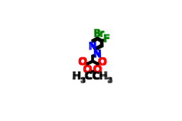 CC1(C)OC(=O)C(C=Nc2cc(F)c(Br)cn2)C(=O)O1